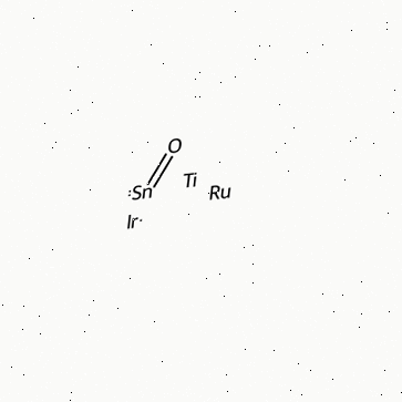 [Ir].[O]=[Sn].[Ru].[Ti]